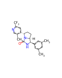 Cc1cc(C)cc([C@H]2NC(=O)N3[C@H](c4cc(C(F)(F)F)ncc4C)CC[C@@H]23)c1